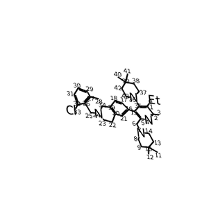 CCc1c(C)nc(CN2CCC(C)(C)CC2)c(-c2ccc3c(c2)CCN(Cc2c(C)cccc2Cl)C3)c1N1CCC(C)(C)CC1